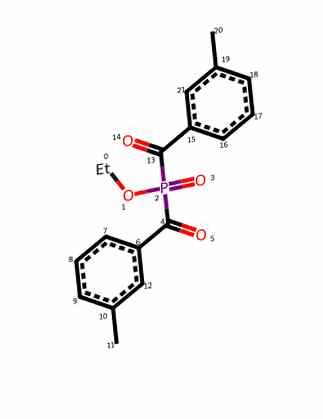 CCOP(=O)(C(=O)c1cccc(C)c1)C(=O)c1cccc(C)c1